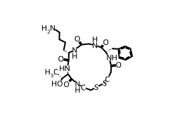 C[C@@H](O)[C@@H]1NC(=O)[C@H](CCCCN)NC(=O)CNC(=O)[C@H](Cc2ccccc2)NC(=O)CCSSCCNC1=O